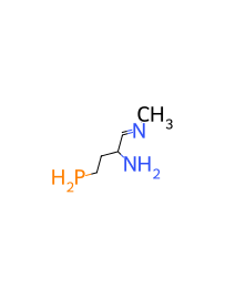 C/N=C/C(N)CCP